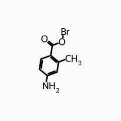 Cc1cc(N)ccc1C(=O)OBr